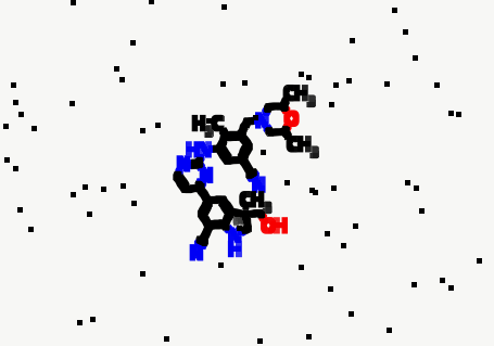 Cc1c(CN2CC(C)OC(C)C2)cc(C#N)cc1Nc1nccc(-c2cc(C#N)c3c(c2)[C@@](C)(CO)CN3)n1